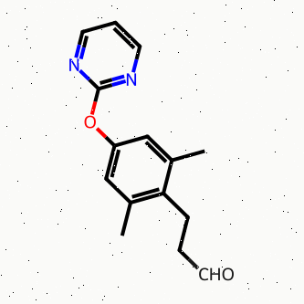 Cc1cc(Oc2ncccn2)cc(C)c1CCC=O